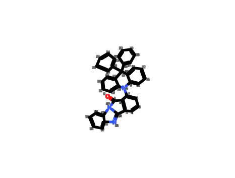 O=C1c2c(cccc2N2c3ccccc3C(c3ccccc3)(c3ccccc3)c3ccccc32)-c2nc3ccccc3n21